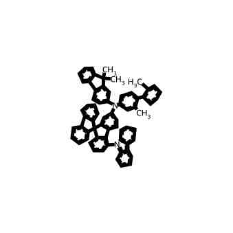 Cc1ccccc1-c1ccc(N(c2ccc3c(c2)C(C)(C)c2ccccc2-3)c2ccc3c(c2)C2(c4ccccc4-c4ccccc42)c2cccc(-n4c5ccccc5c5ccccc54)c2-3)cc1C